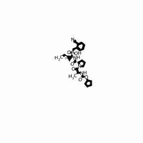 C=C[C@@H]1C[C@]1(NC(=O)[C@@H]1CCCN1C(=O)[C@H](C)NC(=O)OC1CCCC1)P(=O)(O)Cc1ccccc1C#N